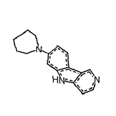 c1cc2[nH]c3cc(N4CCCCC4)ccc3c2cn1